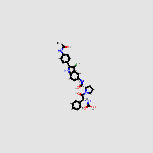 CC(=O)Nc1ccc(-c2[nH]c3ccc(NC(=O)[C@@H]4CCCN4C(=O)[C@H](NC(=O)O)c4ccccc4)cc3c2F)cc1